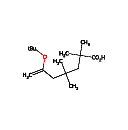 C=C(CC(C)(C)CC(C)(C)C(=O)O)OC(C)(C)C